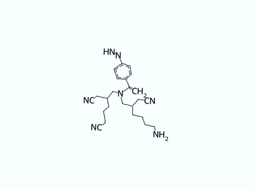 C=C(c1ccc(N=N)cc1)N(CC(CC#N)CCCC#N)CC(CC#N)CCCCN